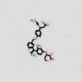 CC#C[C@@H](CC(=O)Cl)c1ccc(OCc2ccc3sc(C)c(-c4ccc(OC5CCSC(=O)C5=O)cc4C)c3c2)cc1